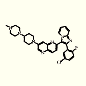 CN1CCN(C2CCN(c3cnc4ccc(-c5c(-c6cc(Cl)ccc6F)nc6ccccn56)nc4c3)CC2)CC1